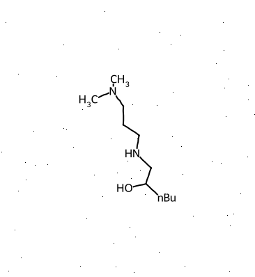 CCCCC(O)CNCCCN(C)C